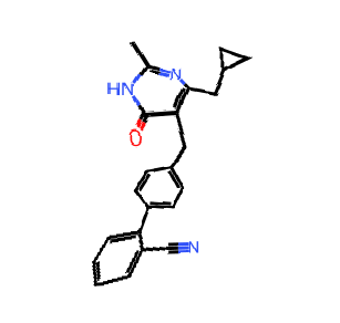 Cc1nc(CC2CC2)c(Cc2ccc(-c3ccccc3C#N)cc2)c(=O)[nH]1